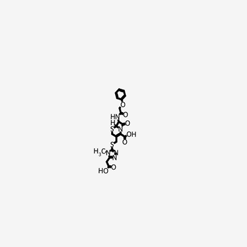 Cn1c(CC(=O)O)nnc1SCC1=C(C(=O)O)N2C(=O)C(NC(=O)COc3ccccc3)[C@H]2SC1